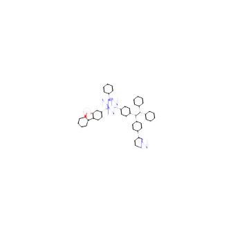 c1ccc(C(=C(c2ccc(-c3cccnc3)cc2)c2ccc(-c3nc(-c4ccccc4)nc(-c4ccc5c(c4)oc4ccccc45)n3)cc2)c2ccccc2)cc1